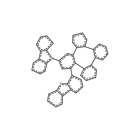 c1ccc2c(c1)-c1ccccc1-c1cc(-n3c4ccccc4c4ccccc43)cc(-c3cccc4c3sc3ccccc34)c1-c1ccccc1-2